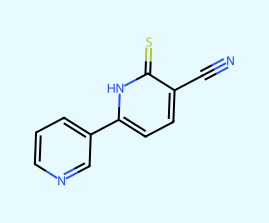 N#Cc1ccc(-c2cccnc2)[nH]c1=S